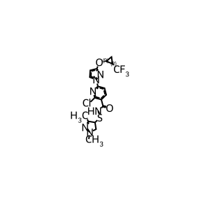 CC1=NN(C)CC1SNC(=O)c1ccc(-n2ccc(O[C@@H]3C[C@H]3C(F)(F)F)n2)nc1Cl